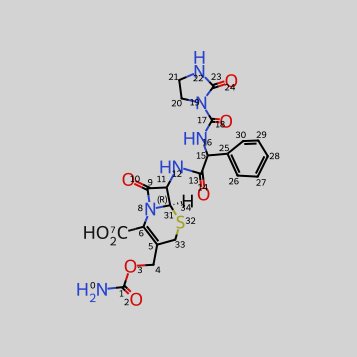 NC(=O)OCC1=C(C(=O)O)N2C(=O)C(NC(=O)C(NC(=O)N3CCNC3=O)c3ccccc3)[C@H]2SC1